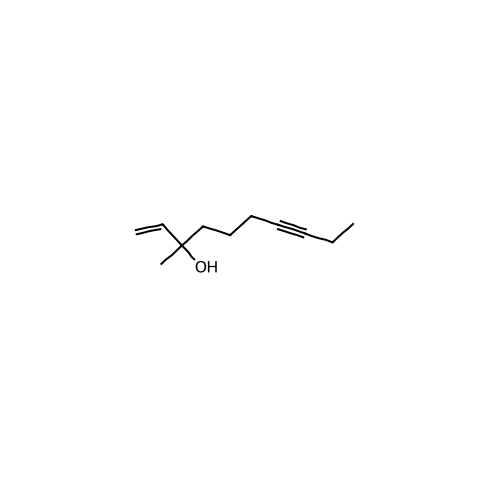 C=CC(C)(O)CCCC#CCC